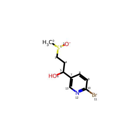 C[S+]([O-])CCC(O)c1ccc(Br)nc1